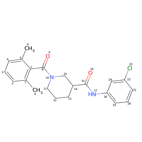 Cc1cccc(C)c1C(=O)N1CCCC(C(=O)Nc2cccc(Cl)c2)C1